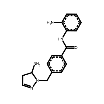 Nc1ccccc1NC(=O)c1ccc(CN2N=CCC2N)cc1